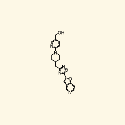 OCc1ccc(N2CCC(Cc3noc(-c4cc5cnccc5o4)n3)CC2)nc1